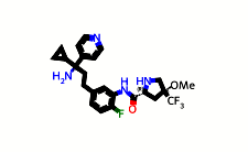 CO[C@@]1(C(F)(F)F)CN[C@@H](C(=O)Nc2cc(CC[C@@](N)(c3ccncc3)C3CC3)ccc2F)C1